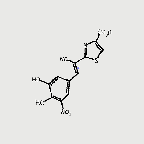 N#C/C(=C\c1cc(O)c(O)c([N+](=O)[O-])c1)c1nc(C(=O)O)cs1